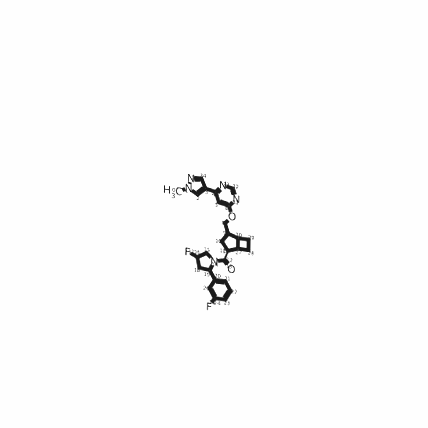 Cn1cc(-c2cc(OCC3C[C@H](C(=O)N4CC(F)CC4c4cccc(F)c4)C4CCC34)ncn2)cn1